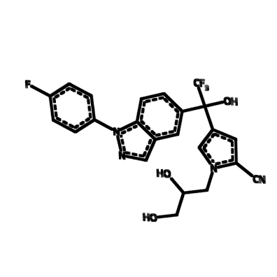 N#Cc1cc(C(O)(c2ccc3c(cnn3-c3ccc(F)cc3)c2)C(F)(F)F)cn1CC(O)CO